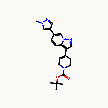 Cn1cc(-c2ccc3c(C4=CCN(C(=O)OC(C)(C)C)CC4)cnn3c2)cn1